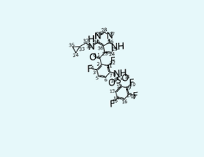 O=C(c1c(F)ccc(NS(=O)(=O)c2cc(F)cc(F)c2F)c1F)c1c[nH]c2ncnc(NCC3CC3)c12